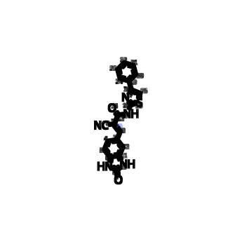 N#C/C(=C\c1ccc2[nH]c(=O)[nH]c2c1)C(=O)Nc1nc(-c2ccccc2)cs1